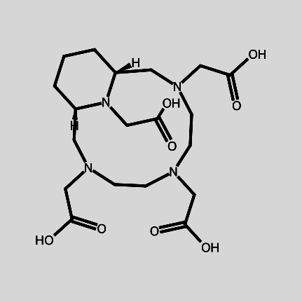 O=C(O)CN1CCN(CC(=O)O)C[C@H]2CCC[C@@H](CN(CC(=O)O)CC1)N2CC(=O)O